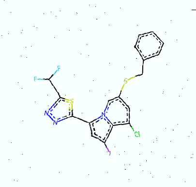 FC(F)c1nnc(-c2cc(I)c3c(Cl)cc(SCc4ccccc4)cn23)s1